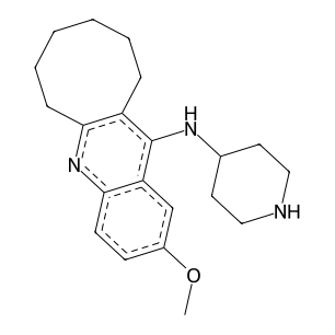 COc1ccc2nc3c(c(NC4CCNCC4)c2c1)CCCCCC3